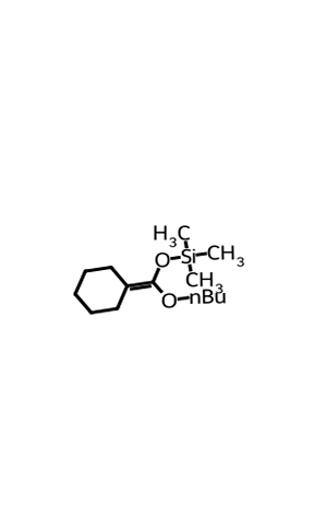 CCCCOC(O[Si](C)(C)C)=C1CCCCC1